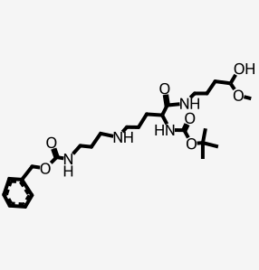 COC(O)CCCNC(=O)C(CCCNCCCNC(=O)OCc1ccccc1)NC(=O)OC(C)(C)C